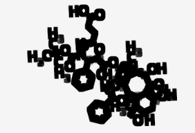 CC1=C2[C@@H](O)C(=O)[C@@]3(C)[C@H]([C@H](OC(=O)c4ccccc4)[C@](O)(C[C@@H]1OC(=O)[C@H](OC(=O)CCC(=O)O)[C@@H](NC(=O)OC(C)(C)C)c1ccccc1)C2(C)C)[C@]1(C)CO[C@@H]1C[C@@H]3O